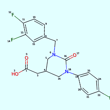 O=C(O)CC1CN(Cc2ccc(F)c(F)c2)C(=O)N(c2ccc(Br)cc2)C1